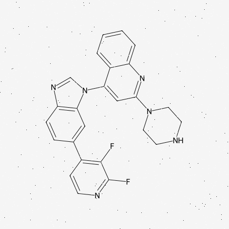 Fc1nccc(-c2ccc3ncn(-c4cc(N5CCNCC5)nc5ccccc45)c3c2)c1F